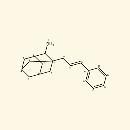 NC1C2CC3CC(C2)CC1(CC=Cc1ccccc1)C3